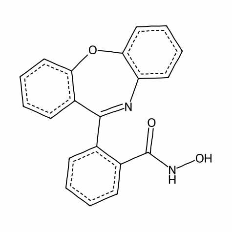 O=C(NO)c1ccccc1C1=Nc2ccccc2Oc2ccccc21